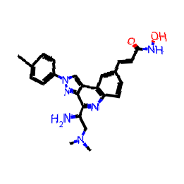 Cc1ccc(-n2cc3c(n2)c(C(N)CN(C)C)nc2ccc(/C=C/C(=O)NO)cc23)cc1